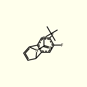 CC(C)(C)OC(=O)N1C2=C=CC1c1cc(F)c(F)cc12